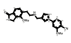 COc1cc(-n2cc(CNCCc3ccc4c(c3OC)COC4=O)cn2)ncc1C#N